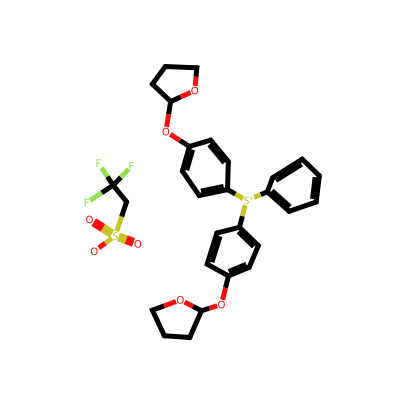 O=S(=O)([O-])CC(F)(F)F.c1ccc([S+](c2ccc(OC3CCCO3)cc2)c2ccc(OC3CCCO3)cc2)cc1